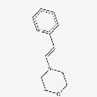 [CH]1CN(C=Cc2ccccc2)CCO1